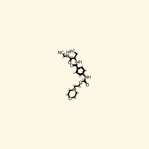 CC(C)CC(NC(=O)c1ccc(NC(=O)OCCN2CCOCC2)cc1)C(=O)NCC#N